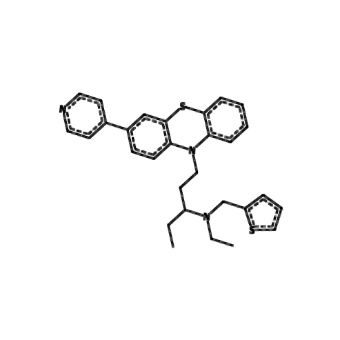 CCC(CCN1c2ccccc2Sc2cc(-c3ccncc3)ccc21)N(CC)Cc1cccs1